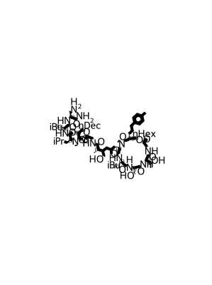 CCCCCCCCCC[C@@H](OC(=O)CNC(=O)[C@@H](C)C(CO)CC(C)C[C@H]1C(=O)N[C@@H]([C@H](C)CC)C(=O)N[C@@H](CO)C(=O)N[C@@H]([C@H](C)O)C(=O)NCC(=O)O[C@H](CCCCCC)[C@@H](CCCc2ccc(C)cc2)C(=O)N1C)[C@@H](C)C(=O)N(C)[C@@H](CC(C)C)C(=O)N[C@H](C(=O)N[C@@H](CN)C(N)=O)[C@H](C)CC